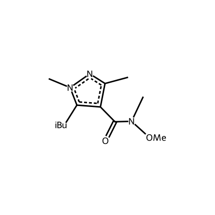 CCC(C)c1c(C(=O)N(C)OC)c(C)nn1C